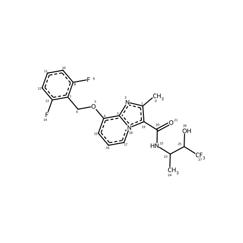 Cc1nc2c(OCc3c(F)cccc3F)cccn2c1C(=O)NC(C)C(O)C(F)(F)F